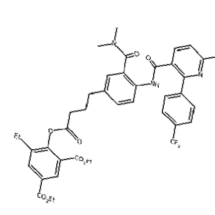 CCOC(=O)c1cc(CC)c(OC(=O)CCCc2ccc(NC(=O)c3ccc(C)nc3-c3ccc(C(F)(F)F)cc3)c(C(=O)N(C)C)c2)c(C(=O)O)c1